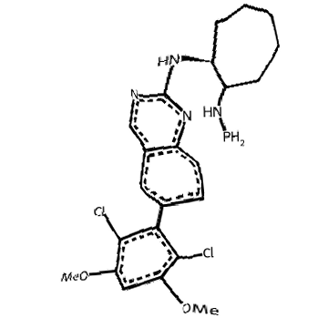 COc1cc(OC)c(Cl)c(-c2ccc3nc(N[C@H]4CCCCCC4NP)ncc3c2)c1Cl